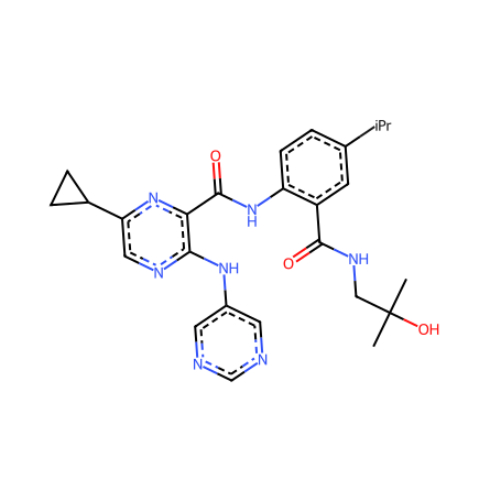 CC(C)c1ccc(NC(=O)c2nc(C3CC3)cnc2Nc2cncnc2)c(C(=O)NCC(C)(C)O)c1